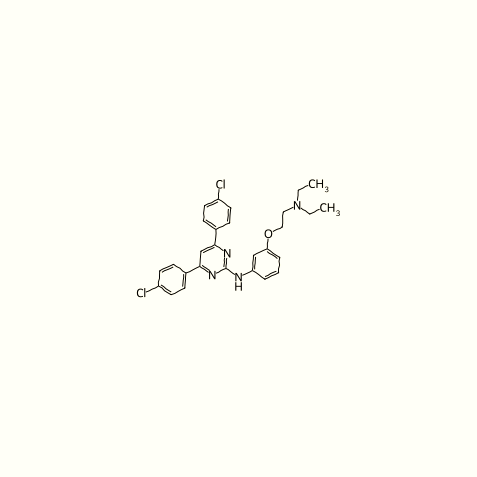 CCN(CC)CCOc1cccc(Nc2nc(-c3ccc(Cl)cc3)cc(-c3ccc(Cl)cc3)n2)c1